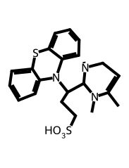 CC1=CCN(C)C(C(CCS(=O)(=O)O)N2c3ccccc3Sc3ccccc32)N1C